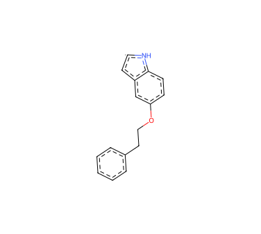 [c]1cc2cc(OCCc3ccccc3)ccc2[nH]1